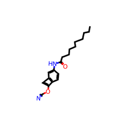 CCCCCCCCCC(=O)Nc1ccc2c(c1)C=C2OC#N